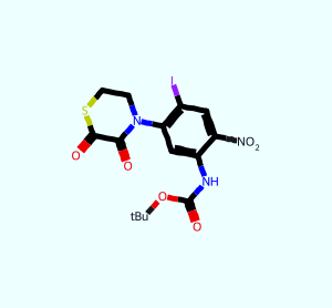 CC(C)(C)OC(=O)Nc1cc(N2CCSC(=O)C2=O)c(I)cc1[N+](=O)[O-]